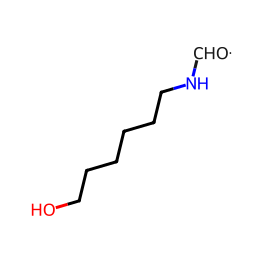 O=[C]NCCCCCCO